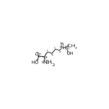 CB(O)NCCCCC(N)C(=O)O